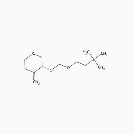 C=C1CCSC[C@@H]1OCOCC[Si](C)(C)C